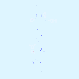 CCO[C@H]1CN(c2nc(C(=O)NC3CC3)c(C(=O)O)s2)CC[C@H]1NC(=O)c1nc(Cl)c(CC)[nH]1